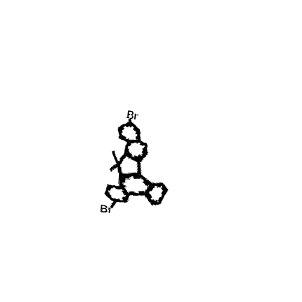 CC1(C)c2c(ccc3cc(Br)ccc23)-c2c1c1ccc(Br)cc1c1ccccc21